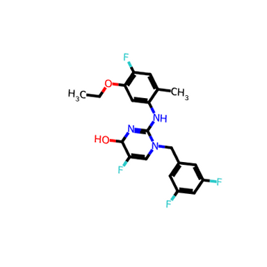 CCOc1cc(NC2=NC(O)C(F)=CN2Cc2cc(F)cc(F)c2)c(C)cc1F